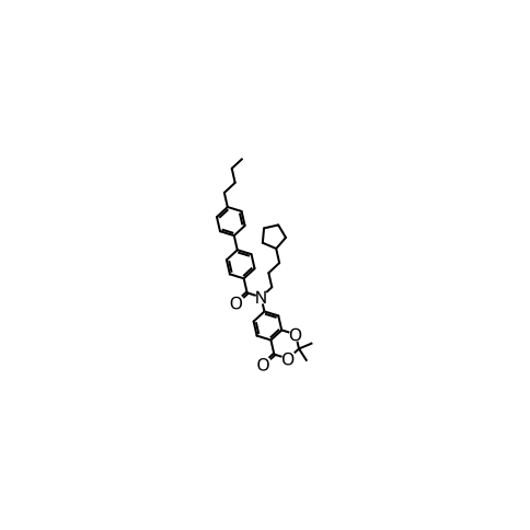 CCCCc1ccc(-c2ccc(C(=O)N(CCCC3CCCC3)c3ccc4c(c3)OC(C)(C)OC4=O)cc2)cc1